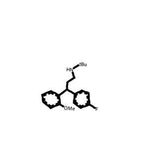 COc1ccccc1C(CCNC(C)(C)C)c1ccc(F)cc1